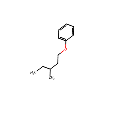 [CH2]CC(C)CCOc1ccccc1